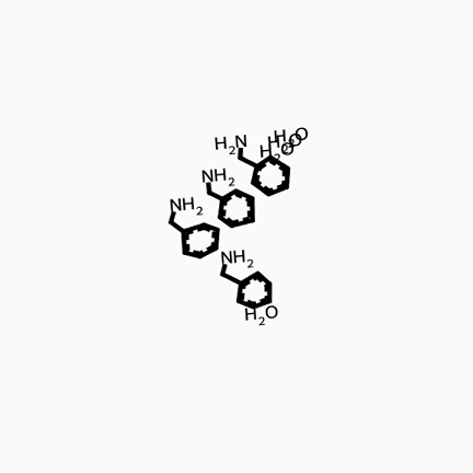 NCc1ccccc1.NCc1ccccc1.NCc1ccccc1.NCc1ccccc1.O.O.O.O